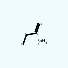 C=CCC.[SnH4]